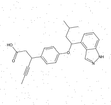 CC#CC(CC(=O)O)c1ccc(OC(CC(C)C)c2cccc3[nH]ncc23)cc1